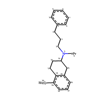 CCCN(CCCc1ccccc1)C1CCc2c(cccc2OC)C1